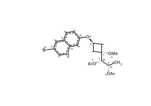 CO[C@]1([C@@H](OC(C)=O)[C@H](C)OC(C)=O)C[C@@H](Oc2ccc3cc(Br)cnc3c2)C1